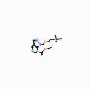 C=C(OCC)c1cncc2cnn(COCC[Si](C)(C)C)c12